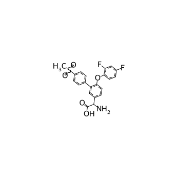 CS(=O)(=O)c1ccc(-c2cc(C(N)C(=O)O)ccc2Oc2ccc(F)cc2F)cc1